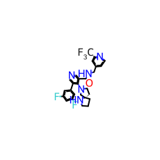 O=C(NCc1ccnc(C(F)(F)F)c1)c1cncc(-c2cc(F)cc(F)c2)c1N1CC[C@@]2(CCCN2)C1